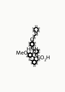 COc1ccc(C(c2c(C)cccc2C)N(C(=O)O)c2ccnc(Nc3ccc(OCCCN4CCCCC4)cc3)n2)cc1